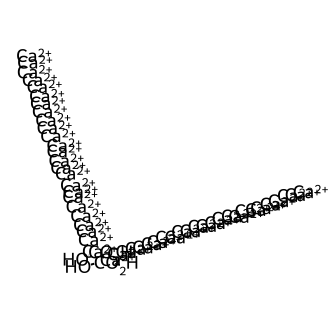 O=C(O)O.O=C(O)O.[Ca+2].[Ca+2].[Ca+2].[Ca+2].[Ca+2].[Ca+2].[Ca+2].[Ca+2].[Ca+2].[Ca+2].[Ca+2].[Ca+2].[Ca+2].[Ca+2].[Ca+2].[Ca+2].[Ca+2].[Ca+2].[Ca+2].[Ca+2].[Ca+2].[Ca+2].[Ca+2].[Ca+2].[Ca+2].[Ca+2].[Ca+2].[Ca+2].[Ca+2].[Ca+2].[Ca+2].[Ca+2].[Ca+2].[Ca+2].[Ca+2].[Ca+2].[Ca+2].[Ca+2].[Ca+2].[Ca+2].[Ca+2].[Ca+2].[Ca+2].[Ca+2].[Ca+2].[Ca+2].[Ca+2].[Ca+2].[Ca+2].[Ca+2]